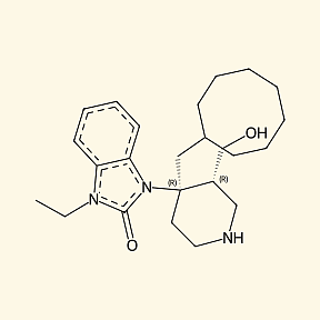 CCn1c(=O)n([C@]2(CC3CCCCCCC3)CCNC[C@H]2CO)c2ccccc21